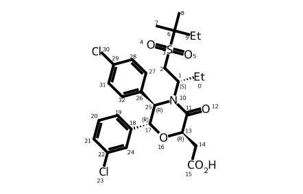 CC[C@@H](CS(=O)(=O)C(C)(C)CC)N1C(=O)[C@@H](CC(=O)O)O[C@H](c2cccc(Cl)c2)[C@H]1c1ccc(Cl)cc1